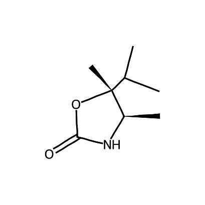 CC(C)[C@@]1(C)OC(=O)N[C@@H]1C